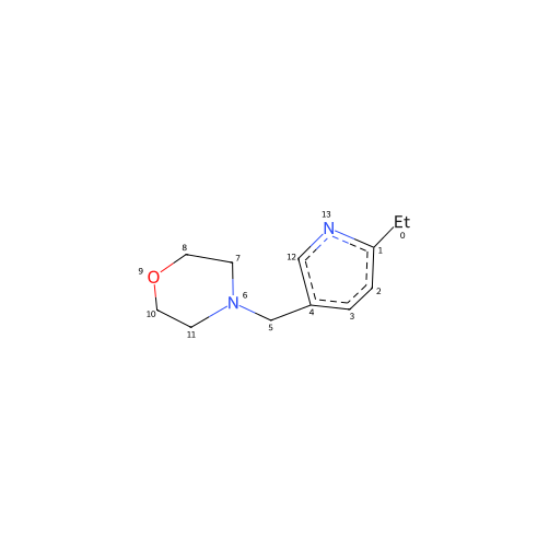 CCc1ccc(CN2CCOCC2)cn1